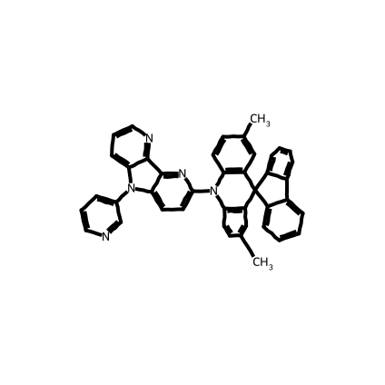 Cc1ccc2c(c1)C1(c3ccccc3-c3ccccc31)c1cc(C)ccc1N2c1ccc2c(n1)c1ncccc1n2-c1cccnc1